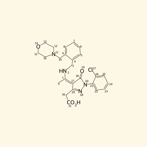 CC(NCc1ccccc1CN1CCOCC1)=C1C(=O)N(c2ccccc2Cl)N=C1CC(=O)O